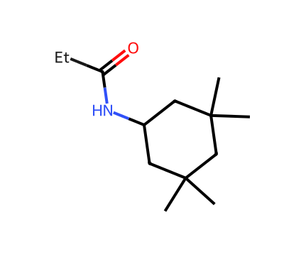 CCC(=O)NC1CC(C)(C)CC(C)(C)C1